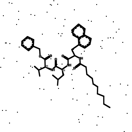 CCCCCCCCCC(=O)NC(Cc1cccc2ccccc12)C(=O)N[C@@H](CC(C)C)C(=O)N[C@H](C(=O)OCc1ccccc1)C(C)C